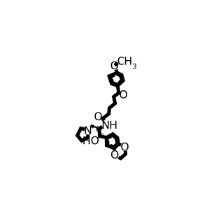 COc1ccc(C(=O)CCCCC(=O)N[C@H](CN2CCCC2)[C@H](O)c2ccc3c(c2)OCCO3)cc1